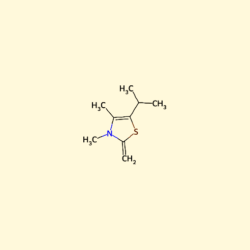 C=C1SC(C(C)C)=C(C)N1C